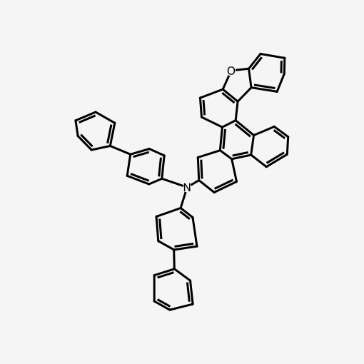 c1ccc(-c2ccc(N(c3ccc(-c4ccccc4)cc3)c3ccc4c5ccccc5c5c(ccc6oc7ccccc7c65)c4c3)cc2)cc1